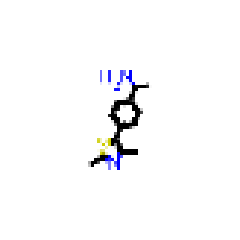 Cc1nc(C)c(-c2ccc([C@H](C)N)cc2)s1